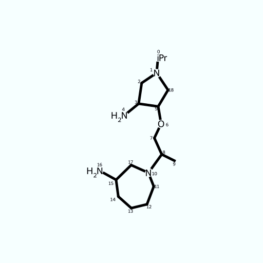 CC(C)N1CC(N)C(OCC(C)N2CCCCC(N)C2)C1